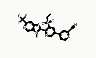 CCS(=O)(=O)c1cc(-c2ccnc(C#N)c2)cnc1-c1nc2cc(C(F)(F)F)ncc2n1C